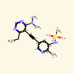 CCc1ncnc(N(C)C)c1C#Cc1cnc(C)c(NS(C)(=O)=O)c1